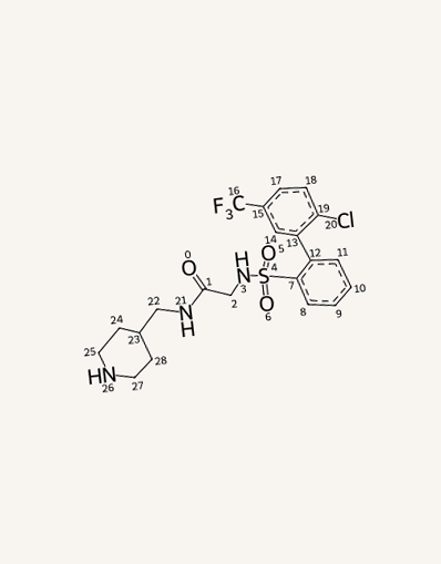 O=C(CNS(=O)(=O)c1ccccc1-c1cc(C(F)(F)F)ccc1Cl)NCC1CCNCC1